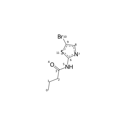 CCCC(=O)Nc1ncc(Br)s1